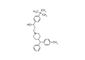 Cc1ccc(C(c2ccccc2)C2CCN(CCC(O)c3ccc(C(C)(C)C)cc3)CC2)cc1